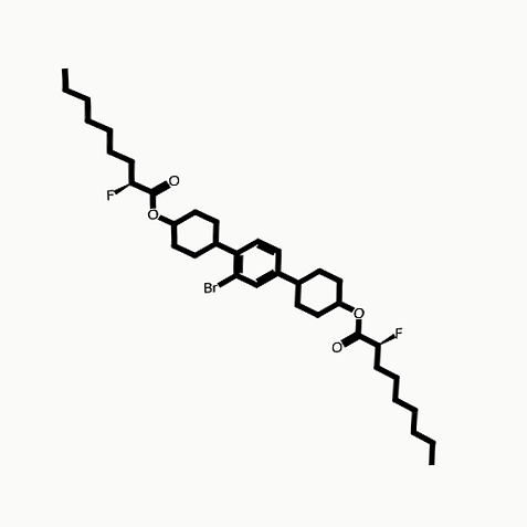 CCCCCCC[C@H](F)C(=O)OC1CCC(c2ccc(C3CCC(OC(=O)[C@@H](F)CCCCCCC)CC3)c(Br)c2)CC1